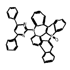 O=P1(c2ccc3ccccc3c2)C2=C(c3ccccc3N(c3nc(-c4ccccc4)cc(-c4ccccc4)n3)c3ccccc32)c2ccccc21